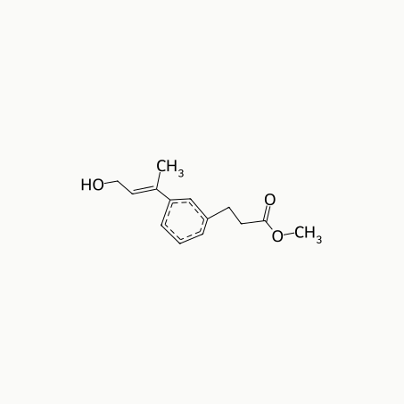 COC(=O)CCc1cccc(/C(C)=C/CO)c1